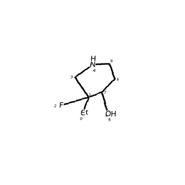 CCC1(F)CNCCC1O